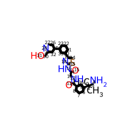 CC(C)(CN)c1cccc(C(=O)NCC(=O)Nc2nc(-c3cccc(-c4ccnc(CO)c4)c3)cs2)c1